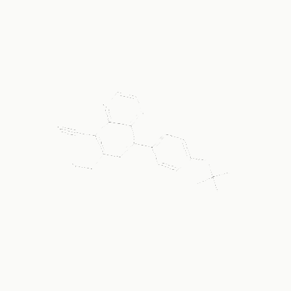 N#Cc1c(CN)cc(-c2ccc(OC(F)(F)F)cc2)c2nccnc12